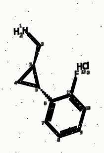 Cl.NC[C@@H]1C[C@H]1c1ccccc1F